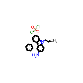 C=CCn1c2ccccc2c2cc(N)ccc21.O=S(=O)(Cl)Cl.c1ccccc1